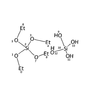 CCO[Si](OCC)(OCC)OCC.O[Si](O)(O)O